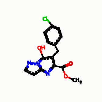 COC(=O)c1nc2ccnn2c(O)c1Cc1ccc(Cl)cc1